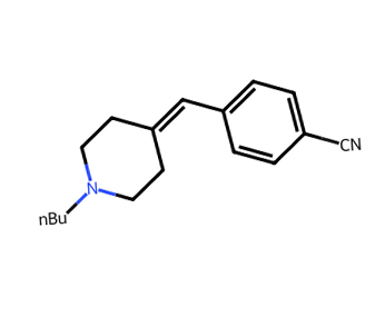 CCCCN1CCC(=Cc2ccc(C#N)cc2)CC1